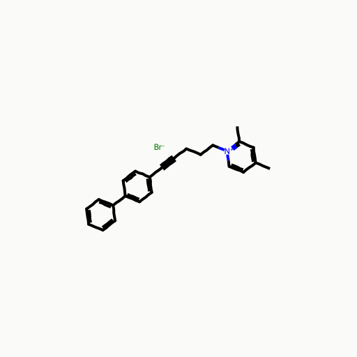 Cc1cc[n+](CCCC#Cc2ccc(-c3ccccc3)cc2)c(C)c1.[Br-]